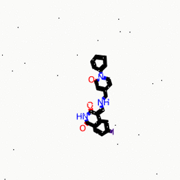 O=C1NC(=O)c2ccc(I)cc2/C1=C/NCc1ccn(-c2ccccc2)c(=O)c1